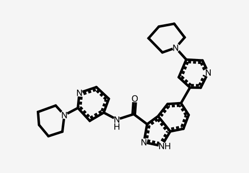 O=C(Nc1ccnc(N2CCCCC2)c1)c1n[nH]c2ccc(-c3cncc(N4CCCCC4)c3)cc12